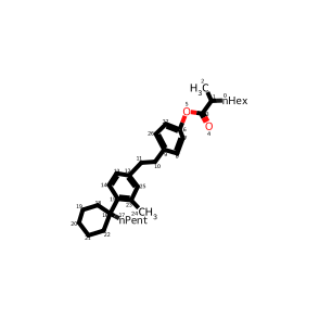 CCCCCCC(C)C(=O)Oc1ccc(CCc2ccc(C3(CCCCC)CCCCC3)c(C)c2)cc1